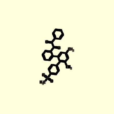 Cc1cc(C)c(-c2ccc(S(C)(=O)=O)cc2)c(-c2ccccc2C(=O)C(=O)c2ccccc2)c1